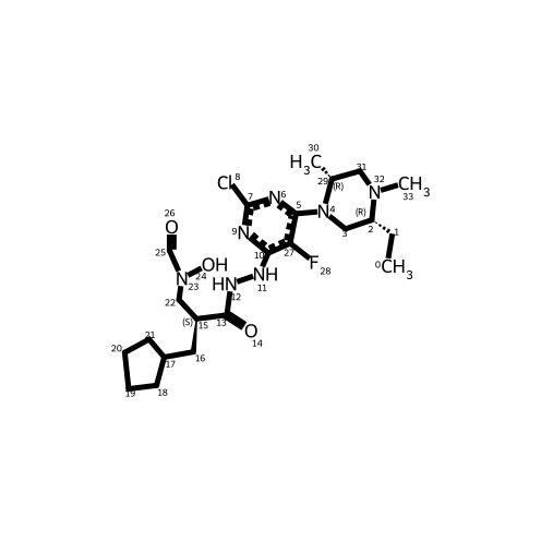 CC[C@@H]1CN(c2nc(Cl)nc(NNC(=O)[C@@H](CC3CCCC3)CN(O)C=O)c2F)[C@H](C)CN1C